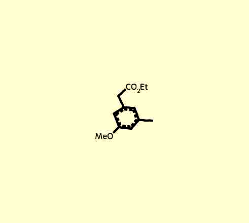 CCOC(=O)Cc1cc(C)cc(OC)c1